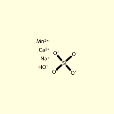 [Ca+2].[Mn+2].[Na+].[O-][Si]([O-])([O-])[O-].[OH-]